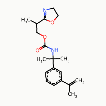 C=C(C)c1cccc(C(C)(C)NC(=O)OCC(C)C2=NCCO2)c1